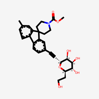 COC(=O)N1CCC2(CC1)c1cc(C)ccc1-c1ccc(C#C[C@H]3O[C@H](CCO)[C@@H](O)[C@H](O)[C@@H]3O)cc12